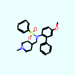 COc1ccc(N(CC2CCN(C)CC2)S(=O)(=O)c2ccccc2)c(-c2ccccc2)c1